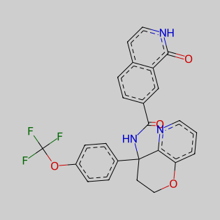 O=C(NC1(c2ccc(OC(F)(F)F)cc2)CCOc2cccnc21)c1ccc2cc[nH]c(=O)c2c1